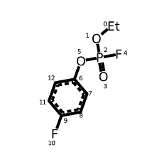 CCOP(=O)(F)Oc1ccc(F)cc1